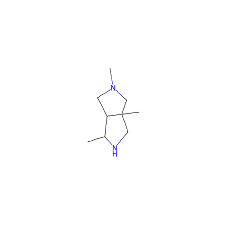 CC1NCC2(C)CN(C)CC12